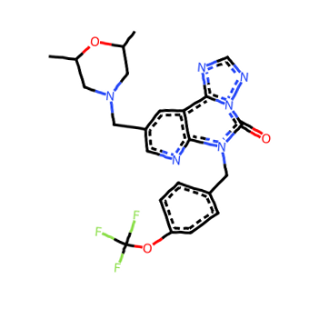 CC1CN(Cc2cnc3c(c2)c2ncnn2c(=O)n3Cc2ccc(OC(F)(F)F)cc2)CC(C)O1